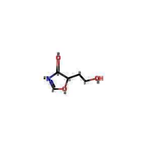 O=C1N=COC1CCO